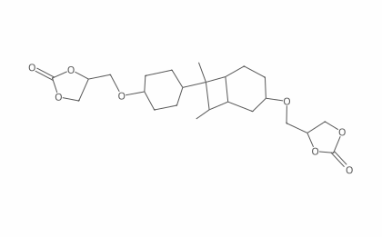 CC1C2CC(OCC3COC(=O)O3)CCC2C1(C)C1CCC(OCC2COC(=O)O2)CC1